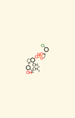 Cc1cc(OCP2(=O)OCC[C@@H](c3cccc(Cl)c3)O2)cc2c1[C@H](c1ccc(O)c(C3(C)CC3)c1)CC2